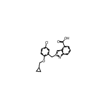 O=C(O)c1cccc2nn(Cc3cc(Cl)ccc3OCC3CC3)cc12